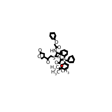 CC(C)(C)OC(=O)C(N1C(=O)[C@@H](NC(=O)COc2ccccc2)[C@H]1SCC(=O)C1COC(=O)C1)=P(c1ccccc1)(c1ccccc1)c1ccccc1